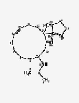 CC(C)NC1CCCC/C=C\CCC(C)(S2(=O)=NCCC2)CC1